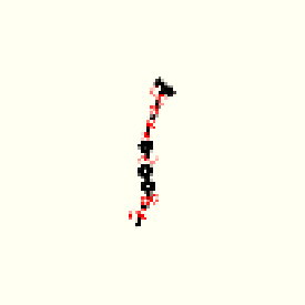 C=CC(=O)OCCOC(=O)c1ccc(-c2ccc(OC(=O)c3ccc(OCCOCCOCCOC(=O)C(CC(C)(C)C)C(C)(C)C)cc3)cc2)cc1